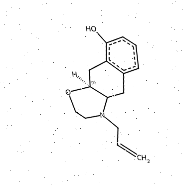 C=CCN1CCO[C@H]2Cc3c(O)cccc3CC21